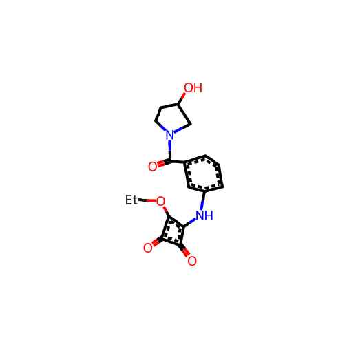 CCOc1c(Nc2cccc(C(=O)N3CCC(O)C3)c2)c(=O)c1=O